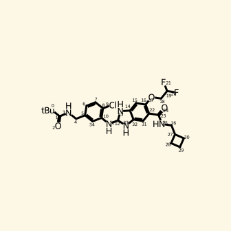 CC(C)(C)C(=O)NCc1ccc(Cl)c(NC2Nc3cc(OCC(F)F)c(C(=O)NCC4CCC4)cc3N2)c1